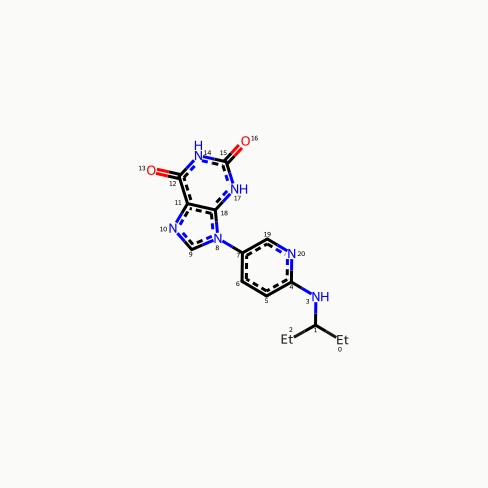 CCC(CC)Nc1ccc(-n2cnc3c(=O)[nH]c(=O)[nH]c32)cn1